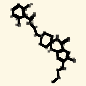 COCNc1cc2c(cc1Cl)C(=O)NC1(CCN(CCNC(=O)c3c(Cl)cccc3Cl)CC1)O2